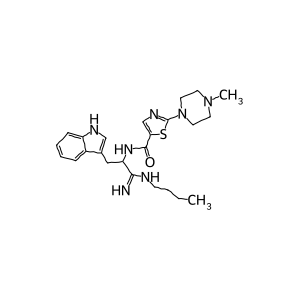 CCCCNC(=N)C(Cc1c[nH]c2ccccc12)NC(=O)c1cnc(N2CCN(C)CC2)s1